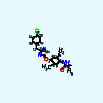 CC(=O)Nc1cc(C)c(Oc2nc(Cc3ccc(Cl)cc3)ns2)cc1C